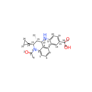 CC(=O)N1c2ccccc2C(Nc2ccc(C(=O)O)cc2)[C@@H](C)[C@@H]1C1CC1